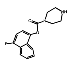 O=C(Oc1ccc(F)c2ccccc12)N1CCNCC1